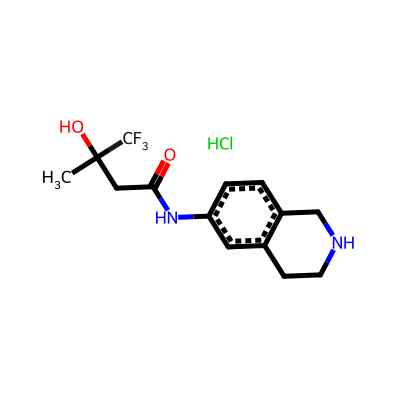 CC(O)(CC(=O)Nc1ccc2c(c1)CCNC2)C(F)(F)F.Cl